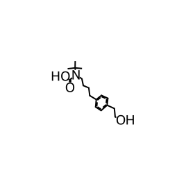 CC(C)(C)N(CCCCc1ccc(CCO)cc1)C(=O)O